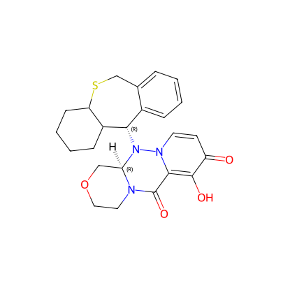 O=C1c2c(O)c(=O)ccn2N([C@H]2c3ccccc3CSC3CCCCC32)[C@@H]2COCCN12